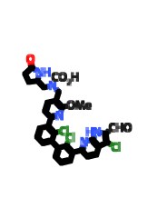 COc1nc(-c2cccc(-c3cccc(-c4ccc5c(Cl)c(C=O)[nH]c5n4)c3Cl)c2Cl)ccc1CN(CC1CCC(=O)N1)C(=O)O